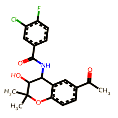 CC(=O)c1ccc2c(c1)C(NC(=O)c1ccc(F)c(Cl)c1)C(O)C(C)(C)O2